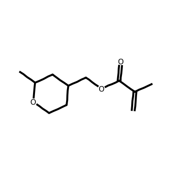 C=C(C)C(=O)OCC1CCOC(C)C1